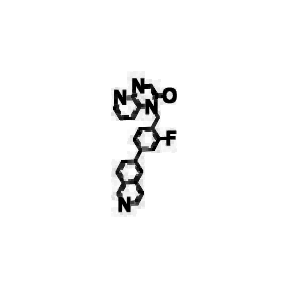 O=c1cnc2ncccc2n1Cc1ccc(-c2ccc3cnccc3c2)cc1F